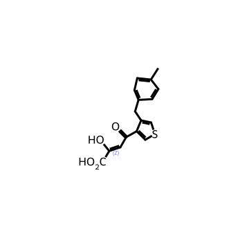 Cc1ccc(Cc2cscc2C(=O)/C=C(\O)C(=O)O)cc1